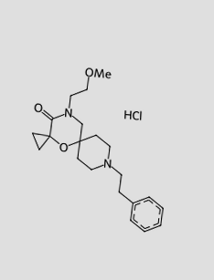 COCCN1CC2(CCN(CCc3ccccc3)CC2)OC2(CC2)C1=O.Cl